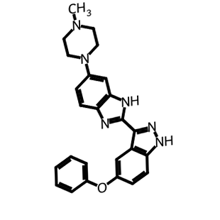 CN1CCN(c2ccc3nc(-c4n[nH]c5ccc(Oc6ccccc6)cc45)[nH]c3c2)CC1